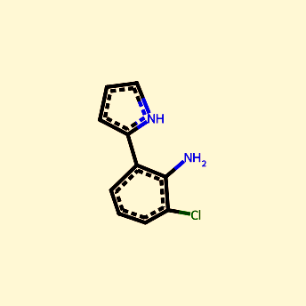 Nc1c(Cl)cccc1-c1ccc[nH]1